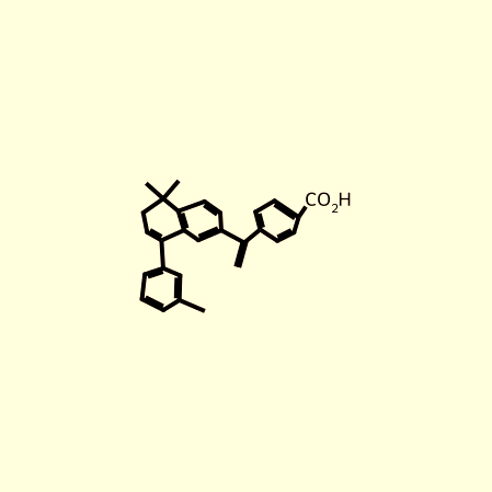 C=C(c1ccc(C(=O)O)cc1)c1ccc2c(c1)C(c1cccc(C)c1)=CCC2(C)C